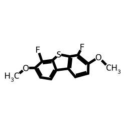 COc1ccc2c(sc3c(F)c(OC)ccc32)c1F